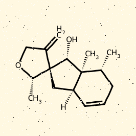 C=C1CO[C@@H](C)[C@]12C[C@@H]1C=CC[C@@H](C)[C@]1(C)[C@H]2O